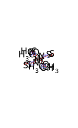 CC(=O)/C(=C(/C)O)c1ccc(-c2cc(-c3cc(/C=C/c4cc5c(s4)-c4sccc4C5)ccn3)nc(-c3cc(-c4ccc(/C(C(C)=O)=C(\C)N=O)cc4)cc(-c4cc(/C=C/c5cc6c(s5)-c5sccc5C6)ccn4)n3)c2)cc1